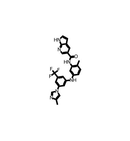 Cc1cn(-c2cc(Nc3ccc(C)c(NC(=O)c4cnc5[nH]ccc5c4)c3)cc(C(F)(F)F)c2)cn1